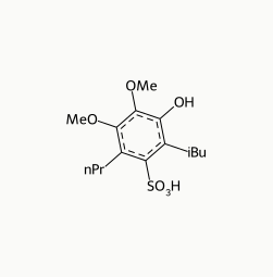 CCCc1c(OC)c(OC)c(O)c(C(C)CC)c1S(=O)(=O)O